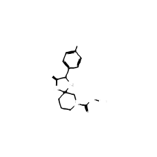 CC(C)(C)OC(=O)N1CCCC2(C1)NC(=O)C(c1ccc(Cl)cc1)N2